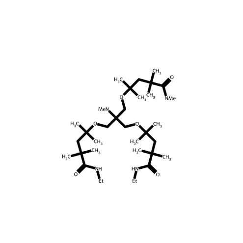 CCNC(=O)C(C)(C)CC(C)(C)OCC(COC(C)(C)CC(C)(C)C(=O)NC)(COC(C)(C)CC(C)(C)C(=O)NCC)NC